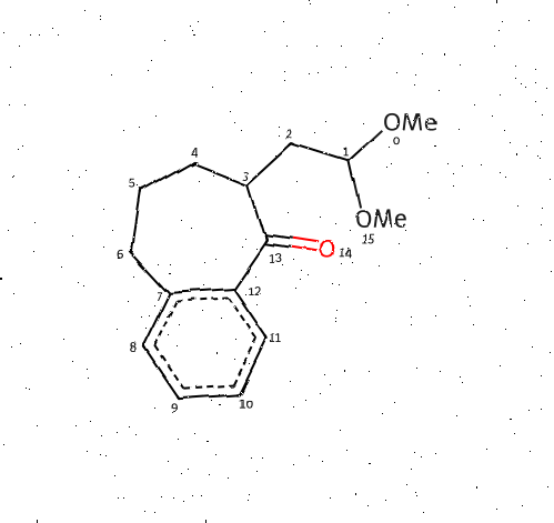 COC(CC1CCCc2ccccc2C1=O)OC